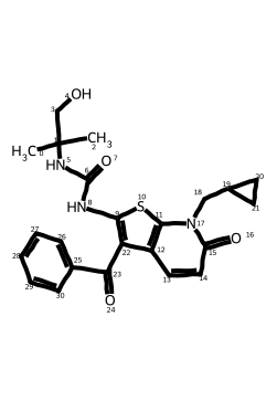 CC(C)(CO)NC(=O)Nc1sc2c(ccc(=O)n2CC2CC2)c1C(=O)c1ccccc1